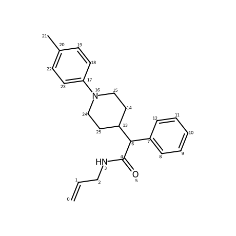 C=CCNC(=O)C(c1ccccc1)C1CCN(c2ccc(C)cc2)CC1